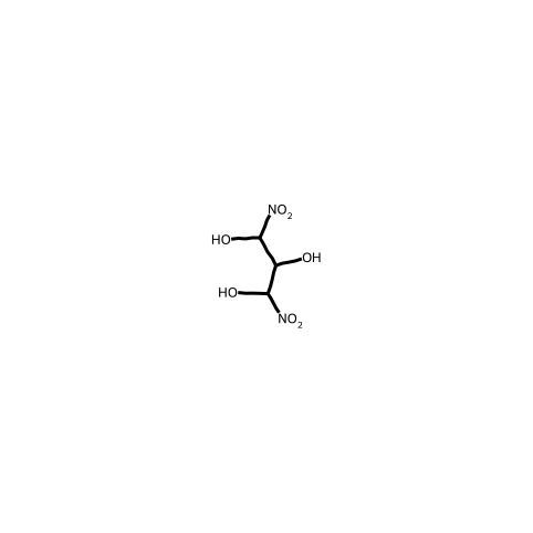 O=[N+]([O-])C(O)C(O)C(O)[N+](=O)[O-]